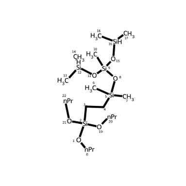 CCCO[Si](CC[Si](C)(C)O[Si](C)(O[SiH](C)C)O[SiH](C)C)(OCCC)OCCC